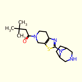 CC(C)(C)CC(=O)N1CCc2nc(N3C4CCC3CNC4)sc2C1